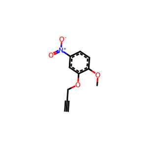 C#CCOc1cc([N+](=O)[O-])ccc1OC